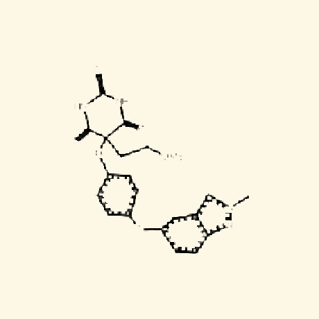 COCCC1(Oc2ccc(Oc3ccc4nn(C)cc4c3)cc2)C(=O)NC(=O)NC1=O